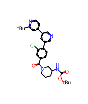 CC(C)(C)OC(=O)NC1CCCN(C(=O)c2ccc(-c3cncc(-c4ccnc(C(C)(C)C)c4)c3)c(Cl)c2)C1